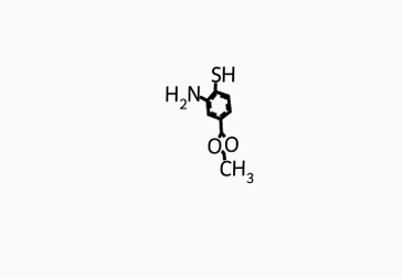 CC1OC(c2ccc(S)c(N)c2)O1